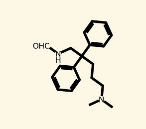 CN(C)CCCC(CNC=O)(c1ccccc1)c1ccccc1